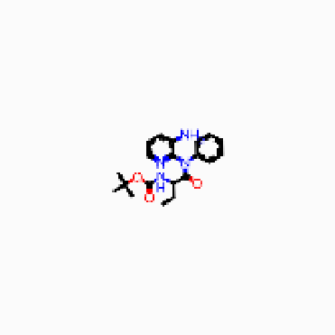 CCC(NC(=O)OC(C)(C)C)C(=O)N(c1ccccc1)c1ncccc1N